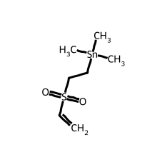 C=CS(=O)(=O)C[CH2][Sn]([CH3])([CH3])[CH3]